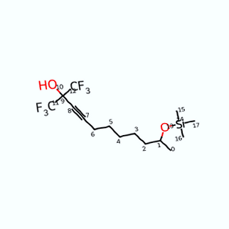 CC(CCCCCC#CC(O)(C(F)(F)F)C(F)(F)F)O[Si](C)(C)C